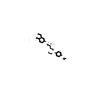 Cl.Nc1nccc2cc(NC(=O)[C@H](O)[C@H]3OCCN(c4ccc(OC(F)(F)F)cc4)C3=O)ccc12